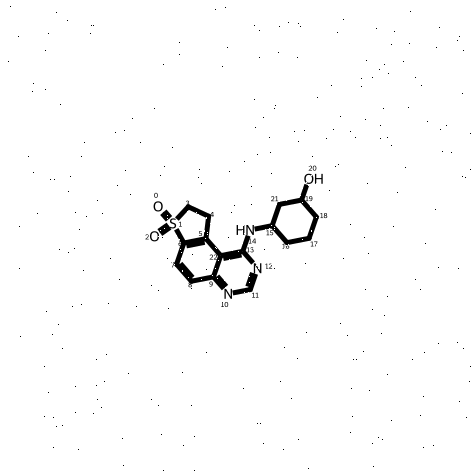 O=S1(=O)CCc2c1ccc1ncnc(NC3CCCC(O)C3)c21